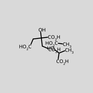 CC(=O)O.CC(O)C(=O)O.O=C(O)CC(O)(CC(=O)O)C(=O)O